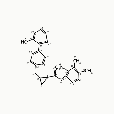 Cc1cnc(NC(=O)C2CC2Cc2ccc(-c3ccccc3C#N)cc2)c([N+](=O)[O-])c1C